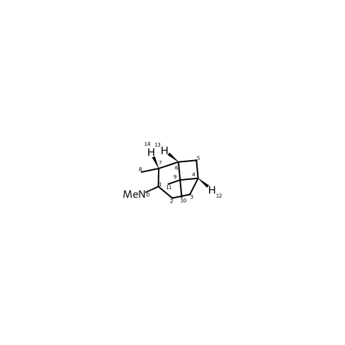 CNC1CC[C@H]2C[C@@H]([C@H]1C)C2(C)C